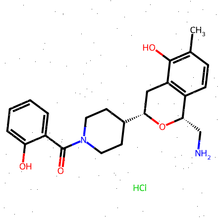 Cc1ccc2c(c1O)C[C@@H](C1CCN(C(=O)c3ccccc3O)CC1)O[C@H]2CN.Cl